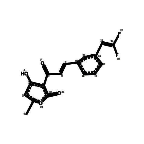 Cc1cc(O)c(C(=O)C=Cc2cccc(C=C(F)F)c2)c(=O)o1